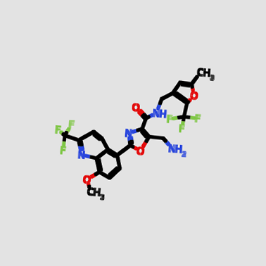 COc1ccc(-c2nc(C(=O)NCc3cc(C)oc3C(F)(F)F)c(CN)o2)c2ccc(C(F)(F)F)nc12